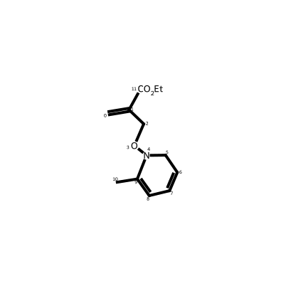 C=C(CON1CC=CC=C1C)C(=O)OCC